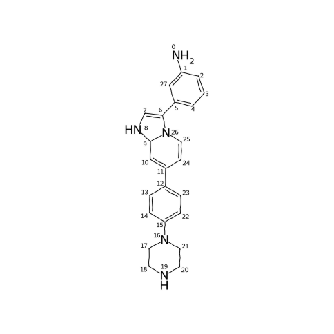 Nc1cccc(C2=CNC3C=C(c4ccc(N5CCNCC5)cc4)C=CN23)c1